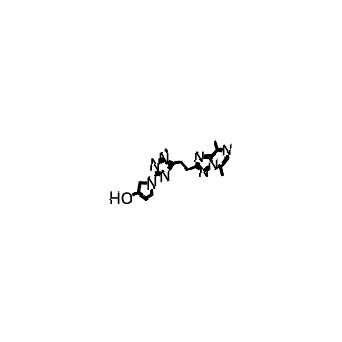 Cc1ncc(C)n2nc(CCc3nc(N4CCC(O)C4)nn3C)nc12